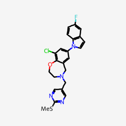 CSc1ncc(CN2CCOc3c(Cl)cc(-n4ccc5cc(F)ccc54)cc3C2)cn1